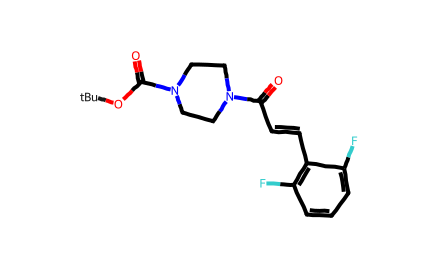 CC(C)(C)OC(=O)N1CCN(C(=O)C=Cc2c(F)cccc2F)CC1